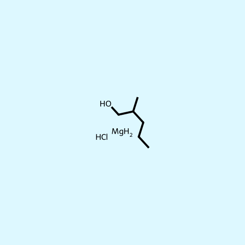 CCCC(C)CO.Cl.[MgH2]